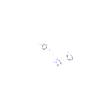 CC(C)(CCOc1n[nH]c(=O)c(Br)c1NCc1cccnc1)c1ccc(Cl)cc1